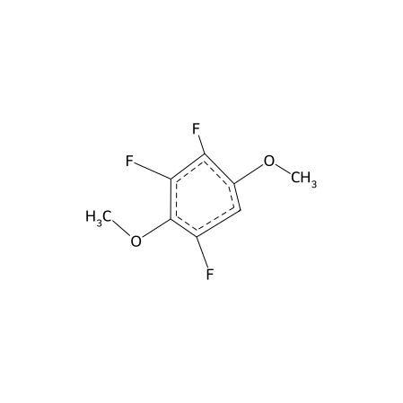 COc1cc(F)c(OC)c(F)c1F